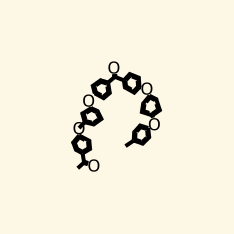 CC(=O)c1ccc(Oc2cccc(Oc3ccc(C(=O)c4ccc(Oc5ccc(Oc6ccc(C)cc6)cc5)cc4)cc3)c2)cc1